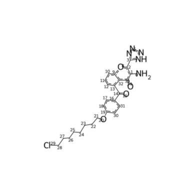 Nc1c(-c2nnn[nH]2)oc2cccc(C(=O)c3ccc(OCCCCCCCCCl)cc3)c2c1=O